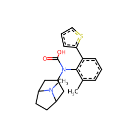 Cc1cccc(-c2cccs2)c1N(C(=O)O)C1CC2CCC(C1)N2C